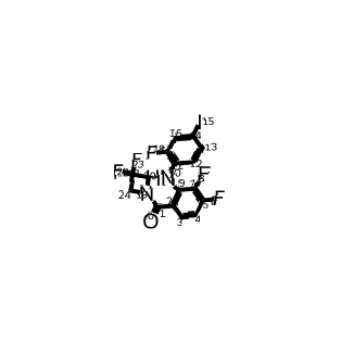 O=C(c1ccc(F)c(F)c1Nc1ccc(I)cc1F)N1CC(F)(F)C1